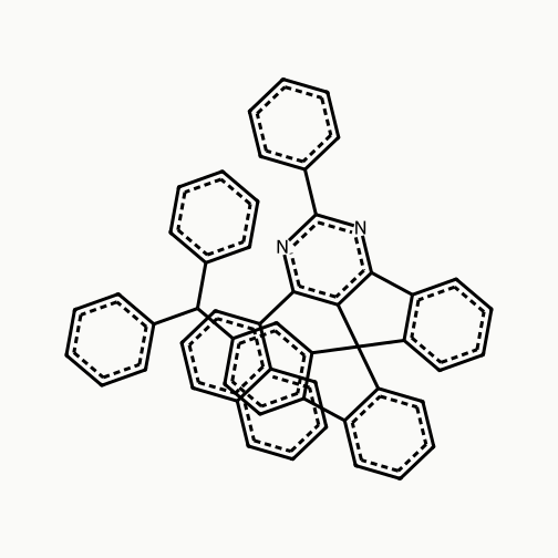 c1ccc(-c2nc3c(c(-c4cccc5ccccc45)n2)C2(c4ccccc4-c4ccc(C(c5ccccc5)c5ccccc5)cc42)c2ccccc2-3)cc1